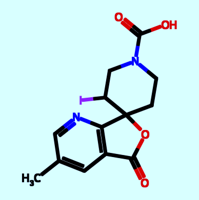 Cc1cnc2c(c1)C(=O)OC21CCN(C(=O)O)CC1I